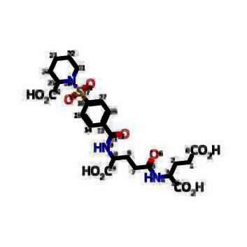 O=C(O)CCC(NC(=O)CCC(NC(=O)c1ccc(S(=O)(=O)N2CCCCC2C(=O)O)cc1)C(=O)O)C(=O)O